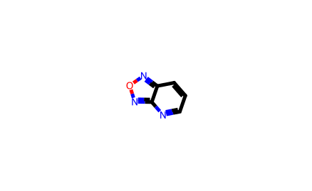 c1cnc2nonc2c1